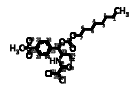 CCCCCCCCOC(=O)OC(c1ccc(S(C)(=O)=O)cc1)C(CF)NC(=O)C(Cl)Cl